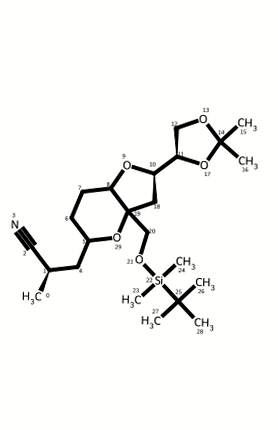 C[C@@H](C#N)CC1CCC2O[C@@H]([C@H]3COC(C)(C)O3)CC2(CO[Si](C)(C)C(C)(C)C)O1